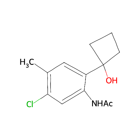 CC(=O)Nc1cc(Cl)c(C)cc1C1(O)CCC1